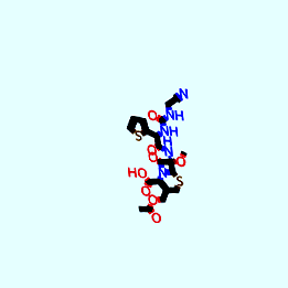 CO[C@@]1(NC(=O)C(NC(=O)NCC#N)c2cccs2)C(=O)N2C(C(=O)O)=C(COC(C)=O)CSC21